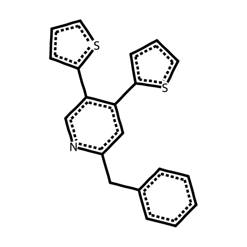 c1ccc(Cc2cc(-c3cccs3)c(-c3cccs3)cn2)cc1